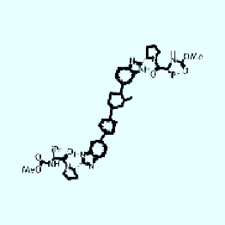 COC(=O)N[C@H](C(=O)N1CCC[C@H]1c1nc2ccc(C3=CC=C(c4ccc(-c5ccc6nc([C@@H]7CCCN7C(=O)[C@@H](NC(=O)OC)C(C)C)[nH]c6c5)cc4)CC3C)cc2[nH]1)C(C)C